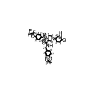 O=C1CCC(N2CCN(S(=O)(=O)c3ccc(OC(F)(F)F)cc3)[C@@H](C(=O)NCc3ccc(OC(F)(F)F)cc3)C2)CN1